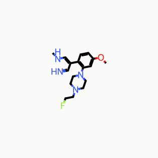 CN/C=C(\C=N)c1ccc(OC)cc1N1CCN(CCF)CC1